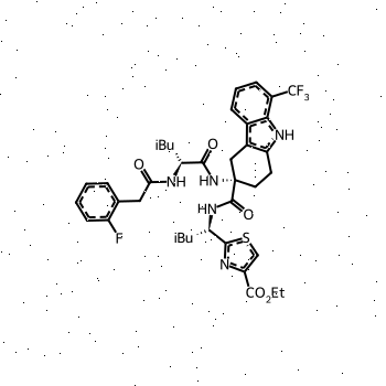 CCOC(=O)c1csc([C@H](NC(=O)[C@]2(NC(=O)[C@@H](NC(=O)Cc3ccccc3F)[C@@H](C)CC)CCc3[nH]c4c(C(F)(F)F)cccc4c3C2)[C@@H](C)CC)n1